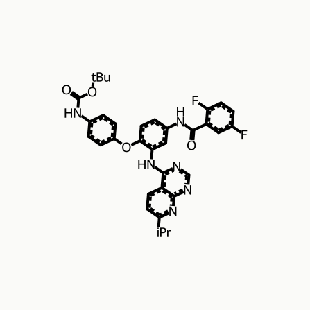 CC(C)c1ccc2c(Nc3cc(NC(=O)c4cc(F)ccc4F)ccc3Oc3ccc(NC(=O)OC(C)(C)C)cc3)ncnc2n1